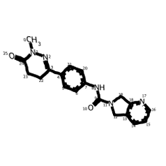 CN1N=C(c2ccc(NC(=O)N3Cc4cccnc4C3)cc2)CCC1=O